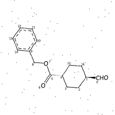 O=C[C@H]1CC[C@H](C(=O)OCc2ccccc2)CC1